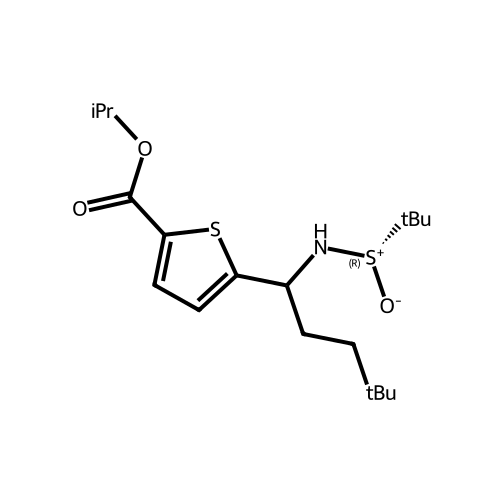 CC(C)OC(=O)c1ccc(C(CCC(C)(C)C)N[S@@+]([O-])C(C)(C)C)s1